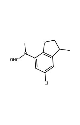 CC1CSc2c1cc(Cl)cc2N(C)C=O